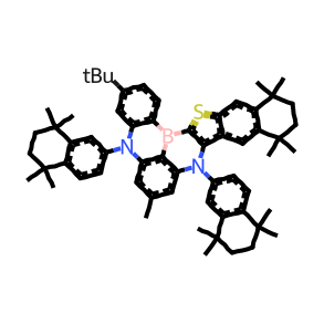 Cc1cc2c3c(c1)N(c1ccc4c(c1)C(C)(C)CCC4(C)C)c1c(sc4cc5c(cc14)C(C)(C)CCC5(C)C)B3c1ccc(C(C)(C)C)cc1N2c1ccc2c(c1)C(C)(C)CCC2(C)C